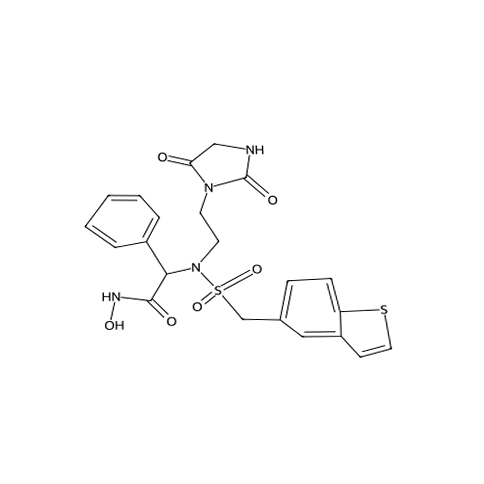 O=C(NO)C(c1ccccc1)N(CCN1C(=O)CNC1=O)S(=O)(=O)Cc1ccc2sccc2c1